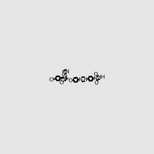 O=C1CNC(=O)N1c1ccc(N2CCN(c3ccc(OC[C@@H]4CO[C@@](Cn5ccnc5)(c5ccc(Cl)cc5Cl)O4)cc3)CC2)cc1